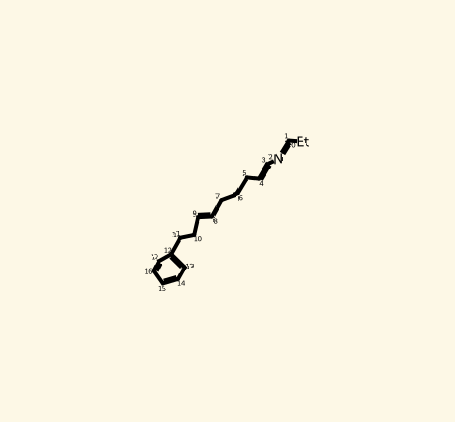 CC/C=N/C=C/CCC/C=C/CCc1ccccc1